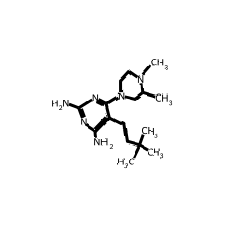 CC1CN(c2nc(N)nc(N)c2CCC(C)(C)C)CCN1C